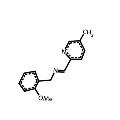 COc1ccccc1C/N=C/c1ccc(C)cn1